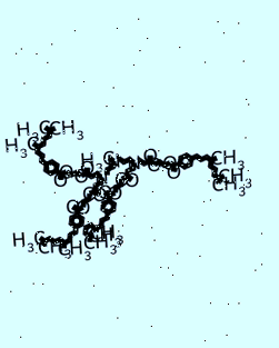 CC(C)CCCC(C)CCCC1CCC(C(=O)OCCOC(=O)CCN(CCCN(C)CCCN(CCC(=O)OCCOC(=O)C2CCC(CCCC(C)CCCC(C)C)CC2)CCC(=O)OCCOC(=O)C2CCC(CCCC(C)CCCC(C)C)CC2)CCC(=O)OCCOC(=O)C2CCC(CCCC(C)CCCC(C)C)CC2)CC1